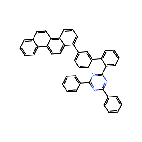 c1ccc(-c2nc(-c3ccccc3)nc(-c3ccccc3-c3cccc(-c4cccc5c4ccc4c6ccccc6ccc54)c3)n2)cc1